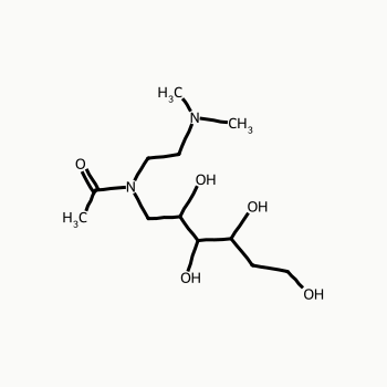 CC(=O)N(CCN(C)C)CC(O)C(O)C(O)CCO